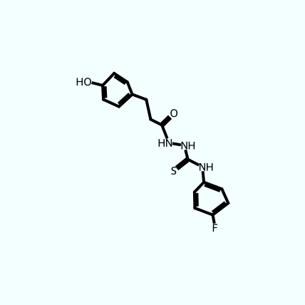 O=C(CCc1ccc(O)cc1)NNC(=S)Nc1ccc(F)cc1